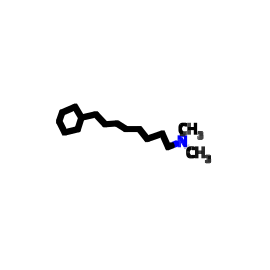 CN(C)CCCCCCCCC1CCCCC1